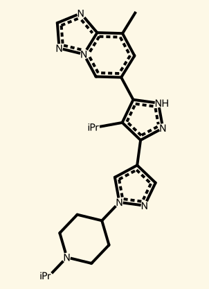 Cc1cc(-c2[nH]nc(-c3cnn(C4CCN(C(C)C)CC4)c3)c2C(C)C)cn2ncnc12